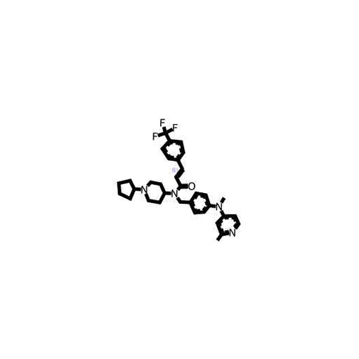 Cc1cc(N(C)c2ccc(CN(C(=O)/C=C/c3ccc(C(F)(F)F)cc3)C3CCN(C4CCCC4)CC3)cc2)ccn1